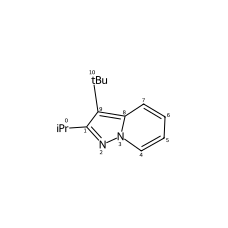 CC(C)c1nn2ccccc2c1C(C)(C)C